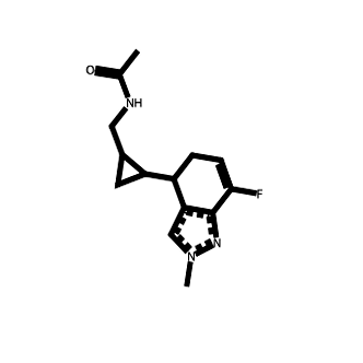 CC(=O)NCC1CC1C1CC=C(F)c2nn(C)cc21